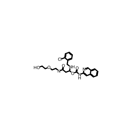 O=C(CC(NCc1ccccc1Cl)OC(=O)Nc1cc2ccccc2cn1)[N]CCOCCO